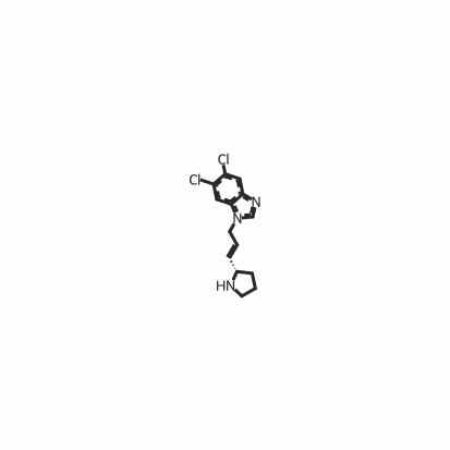 Clc1cc2ncn(C/C=C/[C@@H]3CCCN3)c2cc1Cl